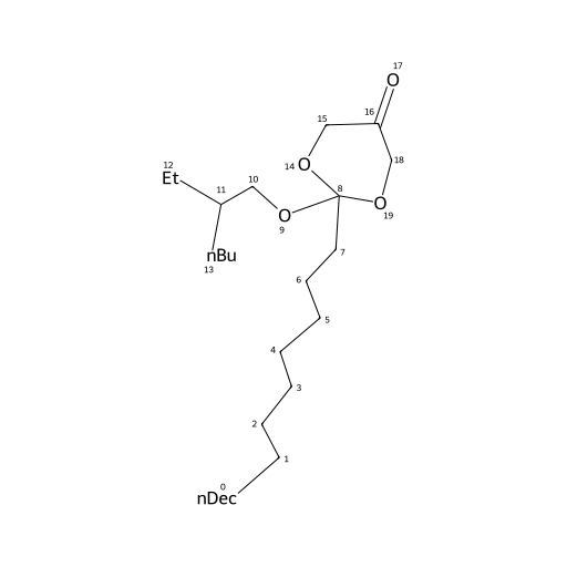 CCCCCCCCCCCCCCCCCC1(OCC(CC)CCCC)OCC(=O)CO1